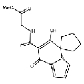 COC(=O)CNC(=O)C1=C(O)C2(CCCC2)n2cccc2C1=O